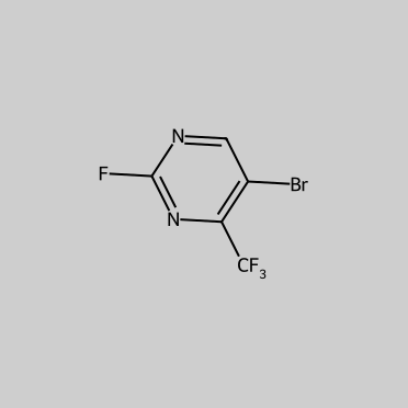 Fc1ncc(Br)c(C(F)(F)F)n1